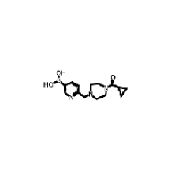 O=C(C1CC1)N1CCN(Cc2ccc(B(O)O)cn2)CC1